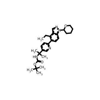 CCc1c(-c2ccc(C(C)(C)NC(=O)OC(C)(C)C)cn2)ccc2c1cnn2C1CCCCO1